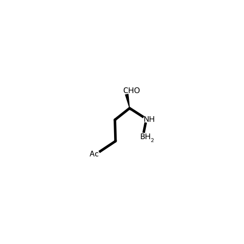 BN[C@H](C=O)CCC(C)=O